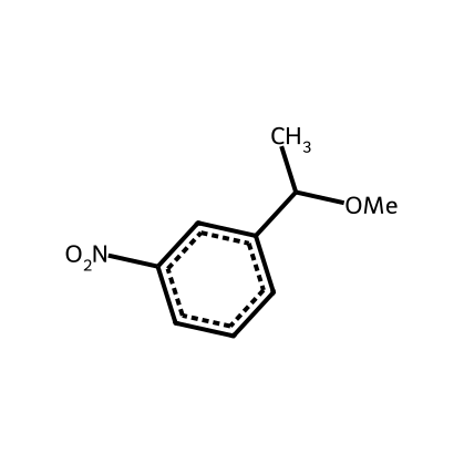 COC(C)c1cccc([N+](=O)[O-])c1